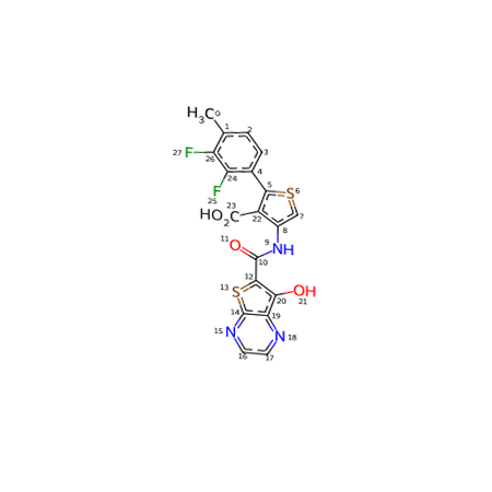 Cc1ccc(-c2scc(NC(=O)c3sc4nccnc4c3O)c2C(=O)O)c(F)c1F